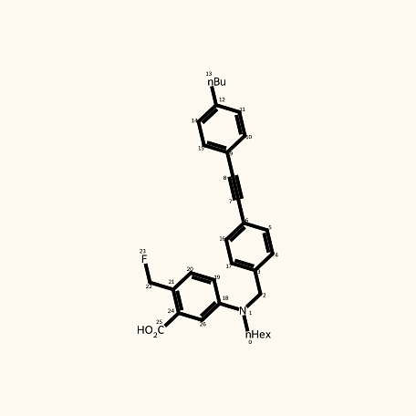 CCCCCCN(Cc1ccc(C#Cc2ccc(CCCC)cc2)cc1)c1ccc(CF)c(C(=O)O)c1